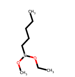 CCCCC[Si](OC)OCC